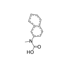 CN(C(=O)O)c1ccc2ccccc2c1